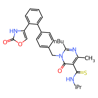 CCCCc1nc(C)c(C(=S)NC(C)C)c(=O)n1Cc1ccc(-c2ccccc2-c2coc(=O)[nH]2)cc1